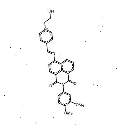 COc1ccc(N2C(=O)c3cccc4c(/N=C/c5cc[n+](CCO)cc5)ccc(c34)C2=O)cc1OC